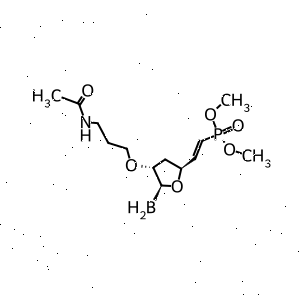 B[C@@H]1O[C@H](/C=C/P(=O)(OC)OC)C[C@H]1OCCCNC(C)=O